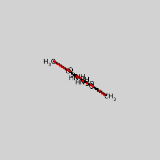 CCCCCCCCCCCCCCOC(=O)CCSCCCC(=N)NCCCNC(=N)CCCSCCC(=O)OCCCCCCCCCCCCCC